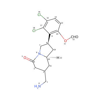 NCC1CC(=O)N2C[C@@H](c3c(OC=O)ccc(Cl)c3Cl)C[C@H]2C1